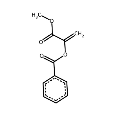 C=C(OC(=O)c1ccccc1)C(=O)OC